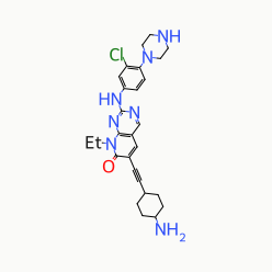 CCn1c(=O)c(C#CC2CCC(N)CC2)cc2cnc(Nc3ccc(N4CCNCC4)c(Cl)c3)nc21